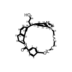 O=C1c2ccc(cc2)OCCCCCCn2nnc3cc(ccc32)C(CCO)c2ccc3c(c2)CN1CC3